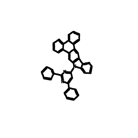 c1ccc(-c2cc(-n3c4ccccc4c4cc5c6ccccc6c6ccccc6c5cc43)nc(-c3ccccc3)n2)cc1